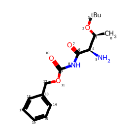 C[C@H](OC(C)(C)C)[C@@H](N)C(=O)NC(=O)OCc1ccccc1